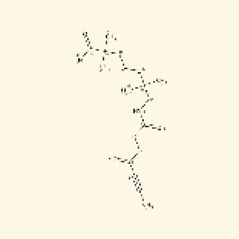 CC#CC(=O)CCC(=O)NCC(C)(C)OCCC(C)(C)C(N)=O